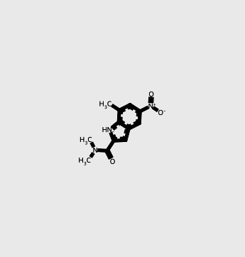 Cc1cc([N+](=O)[O-])cc2cc(C(=O)N(C)C)[nH]c12